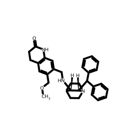 COCc1cc2c(cc1CN[C@H]1C3CCN(CC3)[C@H]1C(c1ccccc1)c1ccccc1)NC(=O)CC2